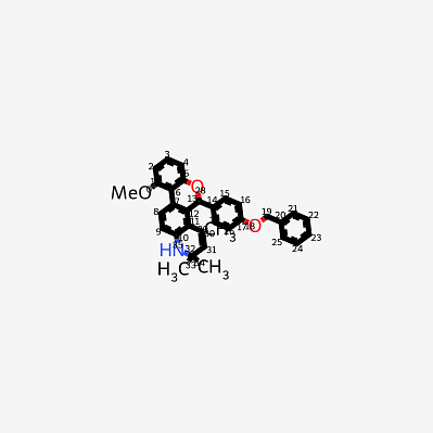 COc1cccc2c1-c1ccc3c(c1C(c1ccc(OCc4ccccc4)cc1)O2)C(C)=CC(C)(C)N3